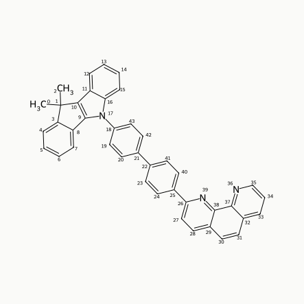 CC1(C)c2ccccc2-c2c1c1ccccc1n2-c1ccc(-c2ccc(-c3ccc4ccc5cccnc5c4n3)cc2)cc1